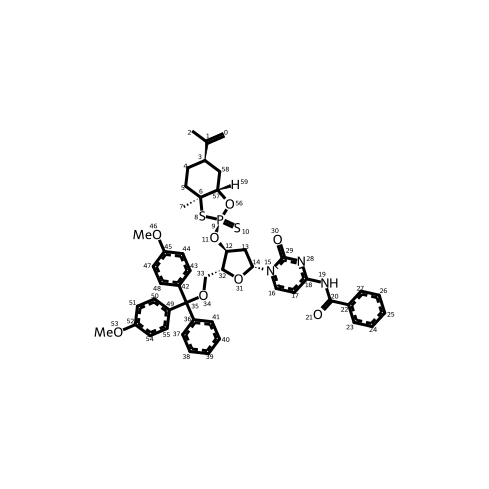 C=C(C)[C@@H]1CC[C@]2(C)S[P@](=S)(O[C@H]3C[C@H](n4ccc(NC(=O)c5ccccc5)nc4=O)O[C@@H]3COC(c3ccccc3)(c3ccc(OC)cc3)c3ccc(OC)cc3)O[C@H]2C1